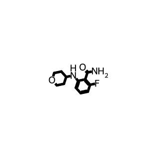 NC(=O)c1c(F)cccc1NC1CCOCC1